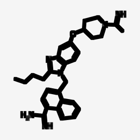 CCCCc1nc2cc(OC3CCN(C(C)=N)CC3)ccc2n1Cc1ccc(C(=N)N)c2ccccc12